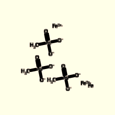 C[As](=O)([O-])[O-].C[As](=O)([O-])[O-].C[As](=O)([O-])[O-].[Fe+3].[Fe+3].[Fe]